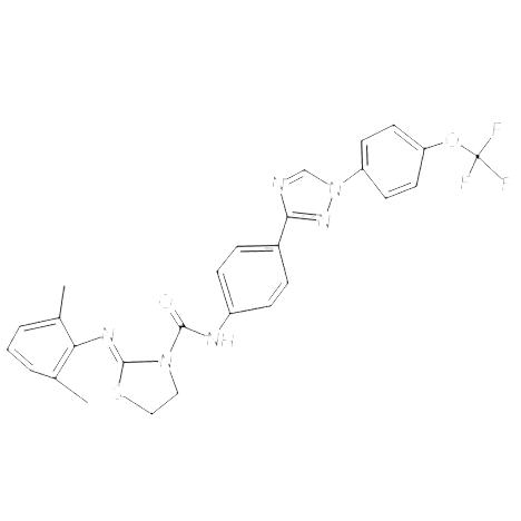 Cc1cccc(C)c1/N=C1\SCCN1C(=O)Nc1ccc(-c2ncn(-c3ccc(OC(F)(F)F)cc3)n2)cc1